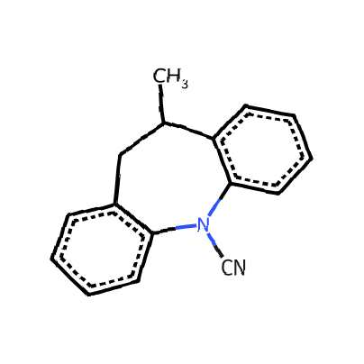 CC1Cc2ccccc2N(C#N)c2ccccc21